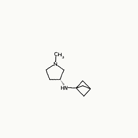 CN1CC[C@@H](NC23CC(C2)C3)C1